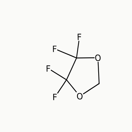 FC1(F)OCOC1(F)F